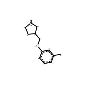 Cc1cccc(OCC2CCNC2)c1